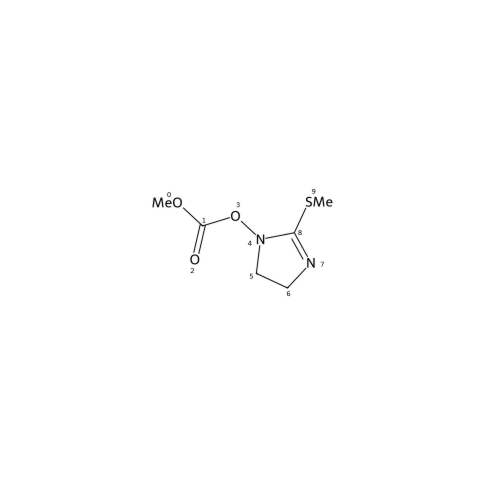 COC(=O)ON1CCN=C1SC